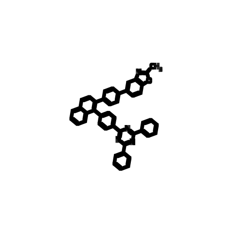 Cc1nc2cc(-c3ccc(-c4ccc5ccccc5c4-c4ccc(-c5nc(-c6ccccc6)nc(-c6ccccc6)n5)cc4)cc3)ccc2o1